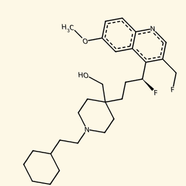 COc1ccc2ncc(CF)c([C@@H](F)CCC3(CO)CCN(CCC4CCCCC4)CC3)c2c1